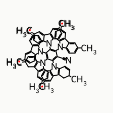 Cc1ccc2c(c1)c1c(n2-c2c(C#N)c(-n3c4ccc(C)cc4c4cc(C)ccc43)c(-n3c4ccc(C)cc4c4cc(C)ccc43)c(-n3c4ccc(C)cc4c4cc(C)ccc43)c2-n2c3c(c4cc(C)ccc42)CC(C)C=C3)C=CC(C)C1